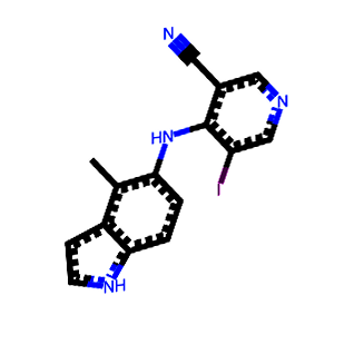 Cc1c(Nc2c(I)cncc2C#N)ccc2[nH]ccc12